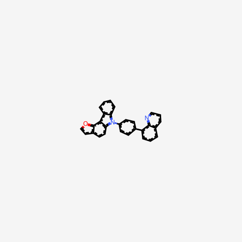 c1cnc2c(-c3ccc(-n4c5ccccc5c5c6occc6ccc54)cc3)cccc2c1